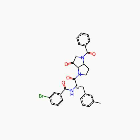 Cc1cccc(C[C@H](NC(=O)c2cccc(Br)c2)C(=O)N2CCC3C2C(=O)CN3C(=O)c2ccccc2)c1